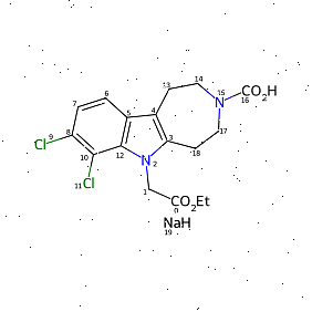 CCOC(=O)Cn1c2c(c3ccc(Cl)c(Cl)c31)CCN(C(=O)O)CC2.[NaH]